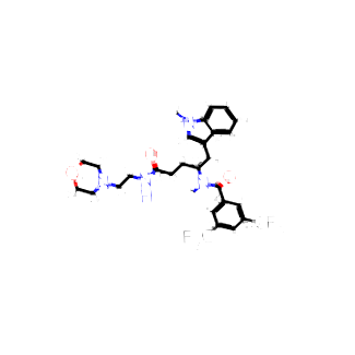 CN(C(=O)c1cc(C(F)(F)F)cc(C(F)(F)F)c1)C(CCC(=O)NCCN1CCOCC1)Cc1cn(C)c2ccccc12